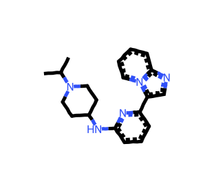 CC(C)N1CCC(Nc2cccc(-c3cnc4ccccn34)n2)CC1